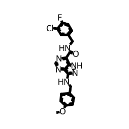 COc1ccc(CNc2n[nH]c3c(C(=O)NCc4ccc(F)c(Cl)c4)ncnc23)cc1